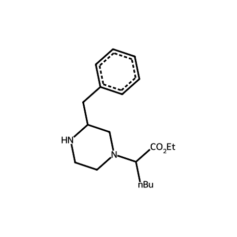 CCCCC(C(=O)OCC)N1CCNC(Cc2ccccc2)C1